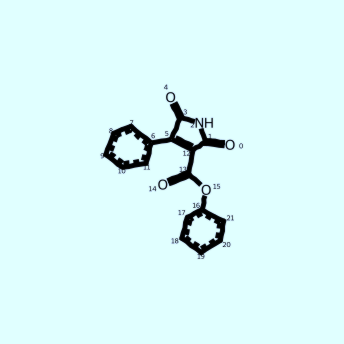 O=C1NC(=O)C(c2ccccc2)=C1C(=O)Oc1ccccc1